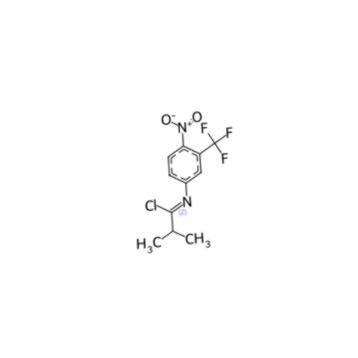 CC(C)/C(Cl)=N/c1ccc([N+](=O)[O-])c(C(F)(F)F)c1